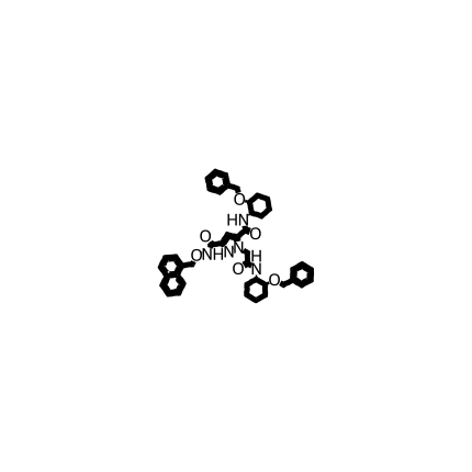 O=C(Cn1nc(C(=O)NOCc2cccc3ccccc23)cc1C(=O)N[C@H]1CCCC[C@@H]1OCc1ccccc1)N[C@H]1CCCC[C@@H]1OCc1ccccc1